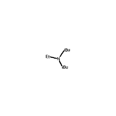 CCC(C)N(CC)C(C)CC